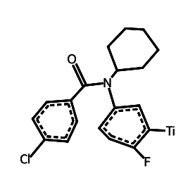 O=C(c1ccc(Cl)cc1)N(c1ccc(F)[c]([Ti])c1)C1CCCCC1